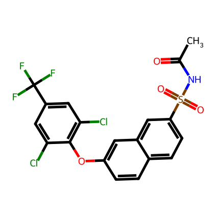 CC(=O)NS(=O)(=O)c1ccc2ccc(Oc3c(Cl)cc(C(F)(F)F)cc3Cl)cc2c1